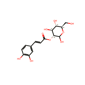 O=C(C=Cc1ccc(O)c(O)c1)O[C@H]1C(O)O[C@H](CO)[C@@H](O)[C@@H]1O